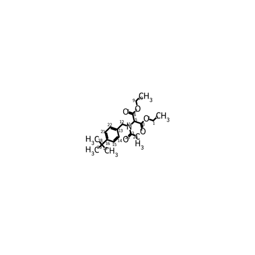 CCOC(=O)C(C(=O)OCC)N(Cc1ccc(C(C)(C)C)cc1)C(C)=O